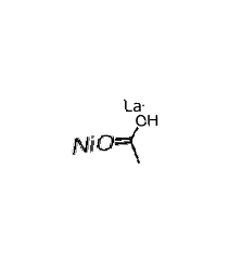 CC(=O)O.[La].[Ni]